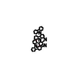 N#Cc1ccc2c3ccccc3n(-c3ccccc3-c3cccc(C#N)c3-n3c4ccccc4c4c(-n5c6ccccc6c6ccccc65)cccc43)c2c1